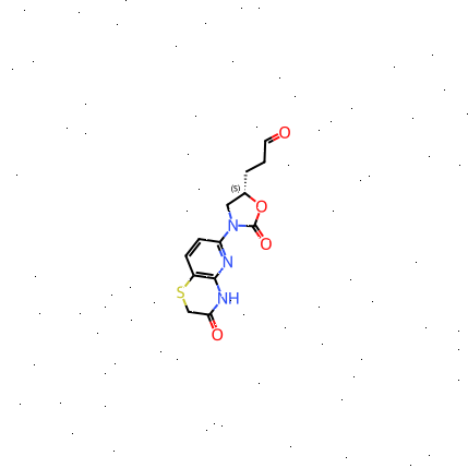 O=CCC[C@H]1CN(c2ccc3c(n2)NC(=O)CS3)C(=O)O1